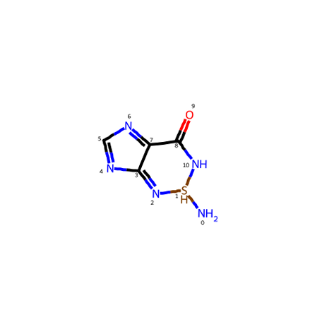 N[SH]1N=C2N=CN=C2C(=O)N1